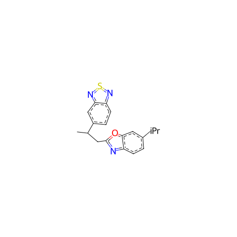 CC(C)c1ccc2nc(CC(C)c3ccc4nsnc4c3)oc2c1